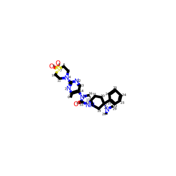 Cc1nc(N2CCS(=O)(=O)CC2)ncc1N1C[C@]2(CC[C@@](c3ccccc3)(N(C)C)CC2)NC1=O